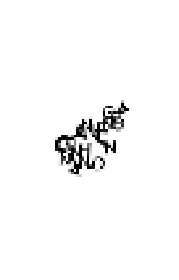 N#CCC1(n2cc(-c3cccc4nc(C5(NC=O)CC5)nn34)cn2)CN(S(=O)(=O)C2CC2)C1